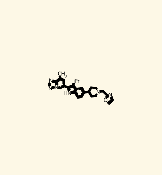 Cc1cc(-c2[nH]c3ccc(C4CCN(Cc5ncco5)CC4)cc3c2C(C)C)cn2ncnc12